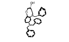 O[C@@H]1COc2ccc(N(Cc3ccccc3)Cc3ccccc3)cc2N(Cc2ccccc2)C1